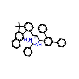 CC1(C)c2cc3ccccc3cc2-c2c(/C=C/C(NC(N)c3ccccc3)c3ccc(-c4ccccc4)cc3-c3ccccc3)cccc21